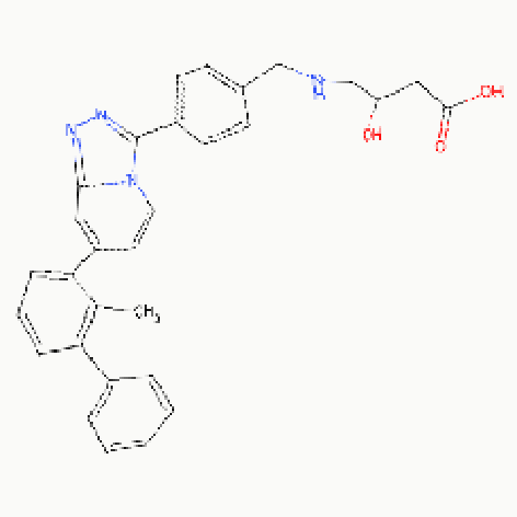 Cc1c(-c2ccccc2)cccc1-c1ccn2c(-c3ccc(CNCC(O)CC(=O)O)cc3)nnc2c1